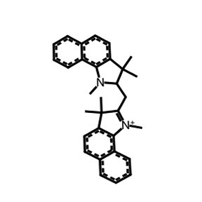 CN1c2c(ccc3ccccc23)C(C)(C)C1CC1=[N+](C)c2c(ccc3ccccc23)C1(C)C